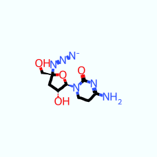 [N-]=[N+]=N[C@@]1(CO)C[C@@H](O)[C@H](N2CCC(N)=NC2=O)O1